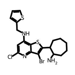 NC1CCCCCC1c1sc2c(NCc3cccs3)cc(Cl)nc2c1Br